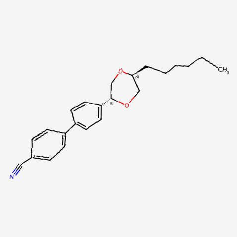 CCCCCC[C@H]1CO[C@H](c2ccc(-c3ccc(C#N)cc3)cc2)CO1